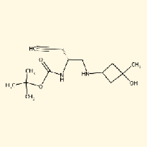 C#CC[C@H](CNC1CC(C)(O)C1)NC(=O)OC(C)(C)C